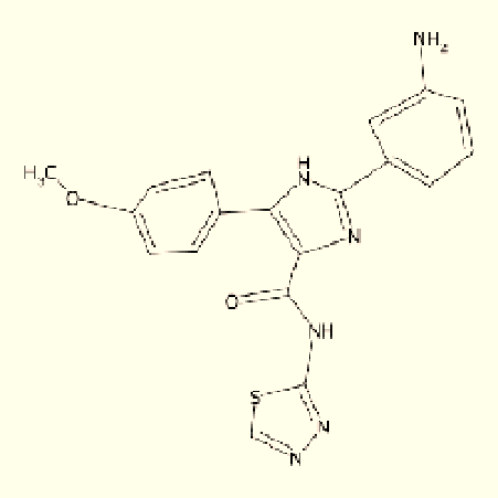 COc1ccc(-c2[nH]c(-c3cccc(N)c3)nc2C(=O)Nc2nncs2)cc1